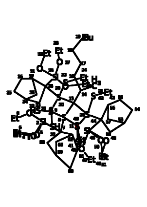 CCO[Si](OCC)(OCC)C1(S(SS)(SCC)C(C(C)CCCC(C)CC)(S(SS)(SCC)C2([Si](OCC)(OCC)OCC)CC3CCC2C3)S(SS)(SCC)C2([Si](OCC)(OCC)OCC)CC3CCC2C3)CC2CCC1C2